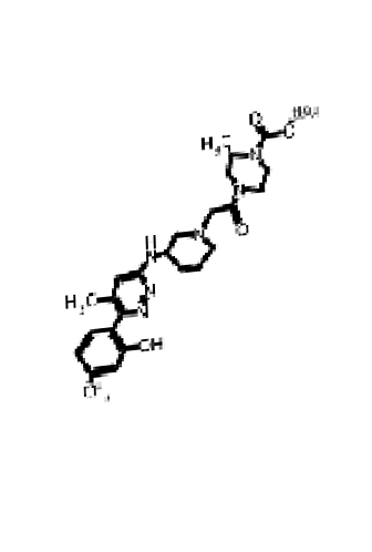 Cc1cc(N[C@@H]2CCCN(CC(=O)N3CCN(C(=O)OC(C)(C)C)[C@@H](C)C3)C2)nnc1-c1ccc(C(F)(F)F)cc1O